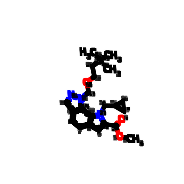 COC(=O)c1cc2ccc3cnn(COCC[Si](C)(C)C)c3c2n1CC1CC1